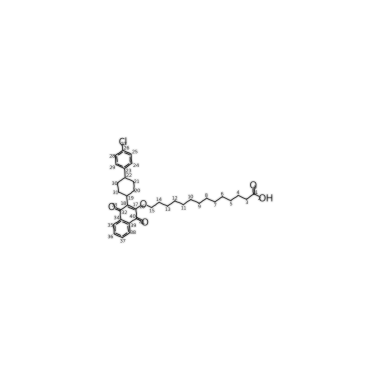 O=C(O)CCCCCCCCCCCCCOC1=C(C2CCC(c3ccc(Cl)cc3)CC2)C(=O)c2ccccc2C1=O